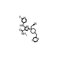 N#CCC1(n2cc(C(N)=O)c(Nc3ccnc(F)c3)n2)CCN(Cc2cnccn2)CC1